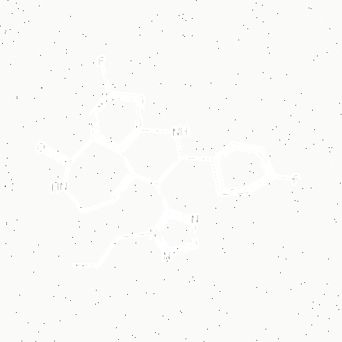 CCCn1ncnc1C1C2=CCNC(=O)c3cc(F)cc(c32)NC1c1ccc(F)cc1